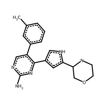 Cc1cccc(-c2cnc(N)nc2-c2c[nH]c(C3COCC[N]3)c2)c1